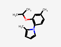 Cc1ccc(-n2cccc2C)c(OC(C)C)c1